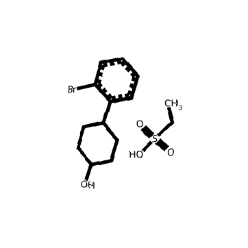 CCS(=O)(=O)O.OC1CCC(c2ccccc2Br)CC1